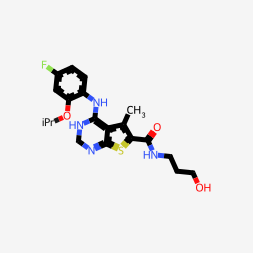 Cc1c(C(=O)NCCCO)sc2c1=C(Nc1ccc(F)cc1OC(C)C)NCN=2